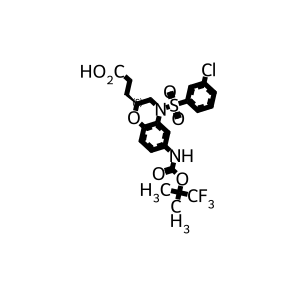 CC(C)(OC(=O)Nc1ccc2c(c1)N(S(=O)(=O)c1cccc(Cl)c1)C[C@H](CCC(=O)O)O2)C(F)(F)F